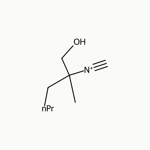 C#[N+]C(C)(CO)CCCC